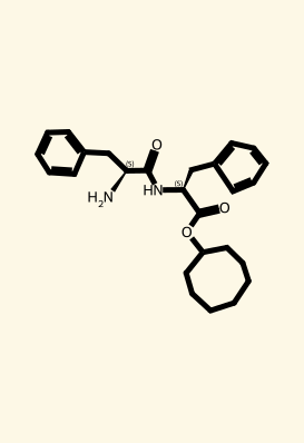 N[C@@H](Cc1ccccc1)C(=O)N[C@@H](Cc1ccccc1)C(=O)OC1CCCCCCC1